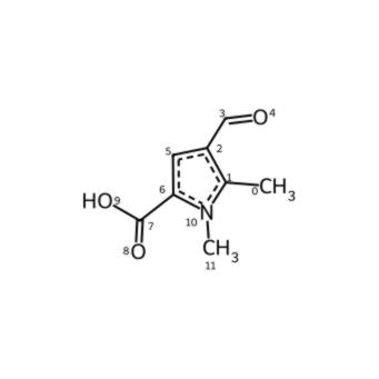 Cc1c(C=O)cc(C(=O)O)n1C